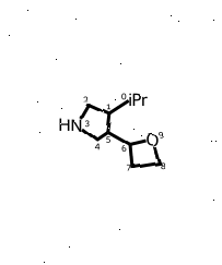 CC(C)C1CNCC1C1CCO1